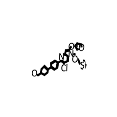 C[Si](C)(C)CCOCn1c(O[C@H]2CCOC2)cc2nc(-c3ccc(C4=CCC(C=O)CC4)cc3)c(Cl)cc21